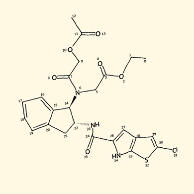 CCOC(=O)CN(C(=O)COC(C)=O)[C@@H]1c2ccccc2C[C@H]1NC(=O)c1cc2cc(Cl)sc2[nH]1